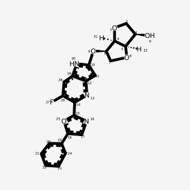 O[C@@H]1CO[C@H]2[C@@H]1OC[C@H]2Oc1cc2nc(-c3ncc(-c4ccccc4)o3)c(F)cc2[nH]1